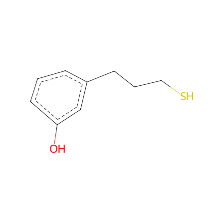 Oc1cccc(CCCS)c1